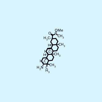 CON(C)C(=O)[C@@]1(C)CC[C@]2(C)CC[C@]3(C)C(=CC[C@@H]4[C@@]5(C)CC[C@H](N)C(C)(C)C5CC[C@]43C)[C@@H]2C1